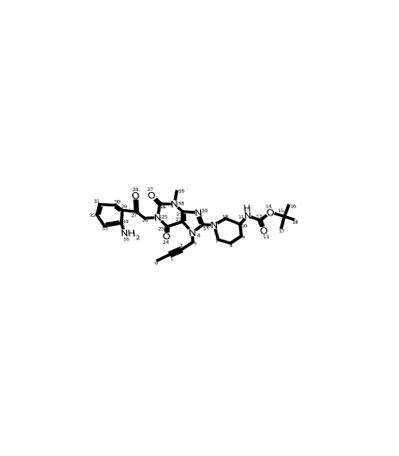 CC#CCn1c(N2CCCC(NC(=O)OC(C)(C)C)C2)nc2c1c(=O)n(CC(=O)c1ccccc1N)c(=O)n2C